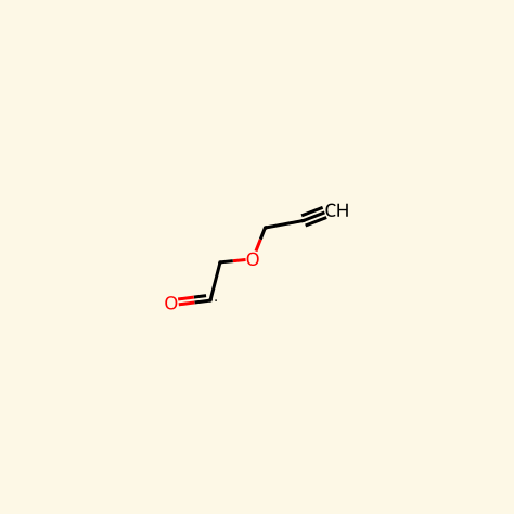 C#CCOC[C]=O